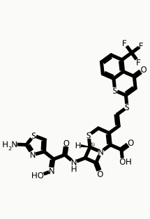 Nc1nc(C(=NO)C(=O)NC2C(=O)N3C(C(=O)O)=C(C=CSc4cc(=O)c5c(C(F)(F)F)cccc5s4)CS[C@@H]23)cs1